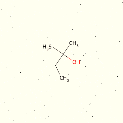 CCC(C)(O)[SiH3]